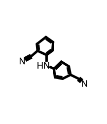 N#Cc1ccc(Nc2ccccc2C#N)cc1